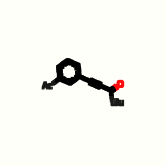 CC(=O)c1cccc(C#CC(=O)C(C)(C)C)c1